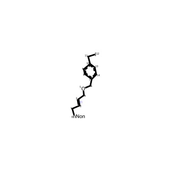 CCCCCCCCCC/C=C/COCc1ccc(CI)cc1